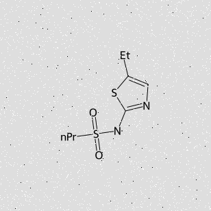 CCCS(=O)(=O)[N]c1ncc(CC)s1